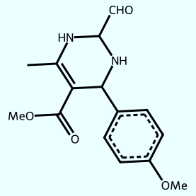 COC(=O)C1=C(C)NC(C=O)NC1c1ccc(OC)cc1